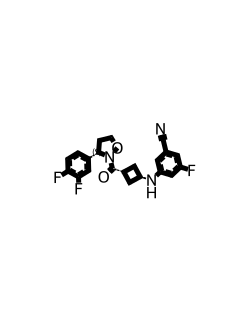 N#Cc1cc(F)cc(N[C@H]2C[C@@H](C(=O)N3OCC[C@H]3c3ccc(F)c(F)c3)C2)c1